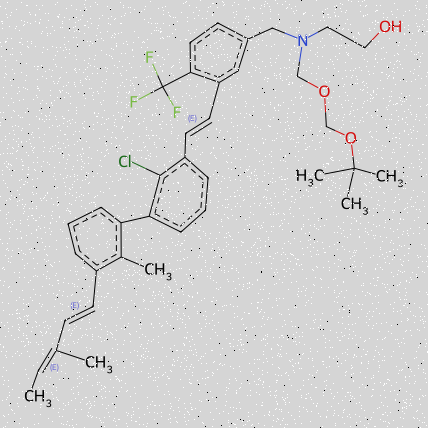 C/C=C(C)/C=C/c1cccc(-c2cccc(/C=C/c3cc(CN(CCO)COCOC(C)(C)C)ccc3C(F)(F)F)c2Cl)c1C